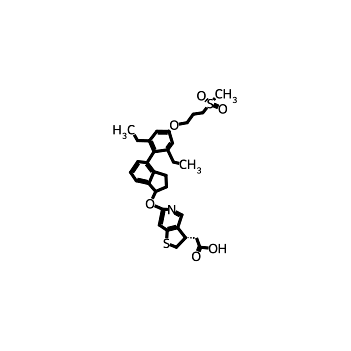 CCc1cc(OCCCS(C)(=O)=O)cc(CC)c1-c1cccc2c1CCC2Oc1cc2c(cn1)[C@H](CC(=O)O)CS2